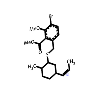 C/C=C\C1CCC(C)C(SCc2ccc(Br)c(OC)c2C(=O)OC)C1